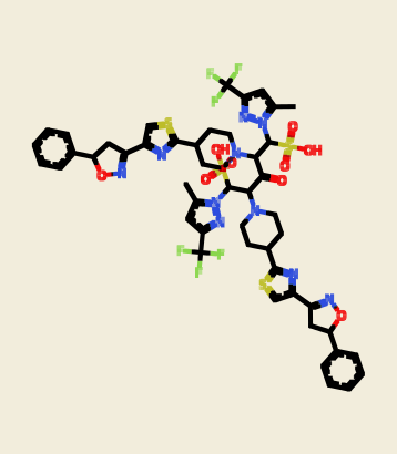 Cc1cc(C(F)(F)F)nn1C(C(C(=O)C(C(n1nc(C(F)(F)F)cc1C)S(=O)(=O)O)N1CCC(c2nc(C3=NOC(c4ccccc4)C3)cs2)CC1)N1CCC(c2nc(C3=NOC(c4ccccc4)C3)cs2)CC1)S(=O)(=O)O